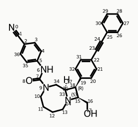 N#Cc1ccc(NC(=O)N2CCCCN3[C@H](CO)[C@H](c4ccc(C#Cc5ccccc5)cc4)[C@@H]3C2)cc1